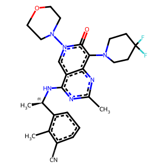 Cc1nc(N[C@H](C)c2cccc(C#N)c2C)c2cn(N3CCOCC3)c(=O)c(N3CCC(F)(F)CC3)c2n1